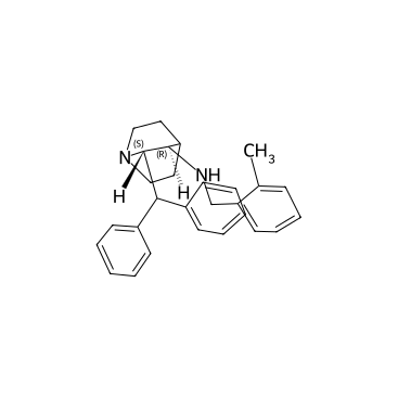 Cc1ccccc1CN[C@@H]1C2CCN(CC2)[C@H]1C(c1ccccc1)c1ccccc1